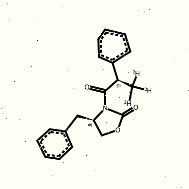 [2H]C([2H])([2H])[C@@H](C(=O)N1C(=O)OC[C@H]1Cc1ccccc1)c1ccccc1